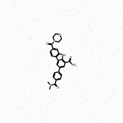 CN(C)C(=O)c1ccc(-c2cc(C(N)=O)c3[nH]c4cc(C(=O)N5CCOCC5)ccc4c3c2)cc1